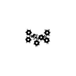 c1ccc(N(c2ccccc2)c2cnc(N(c3ccccc3)c3ccc4c(c3)c3ccccc3n4-c3ccccc3)s2)cc1